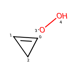 C1=CC1.[O]O